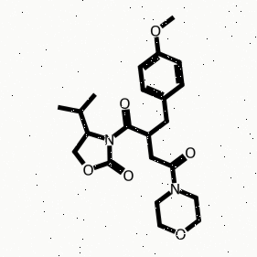 COc1ccc(CC(CC(=O)N2CCOCC2)C(=O)N2C(=O)OCC2C(C)C)cc1